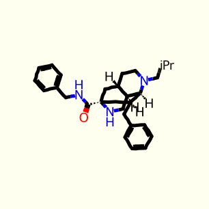 CC(C)CN1CC[C@H]2C[C@]3(C(=O)NCc4ccccc4)NC[C@@H]2[C@@H]1[C@H]3Cc1ccccc1